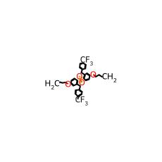 C=CCCOc1ccc(S(=O)(=O)c2ccc(OCCC=C)cc2Cc2ccc(C(F)(F)F)cc2)c(Cc2ccc(C(F)(F)F)cc2)c1